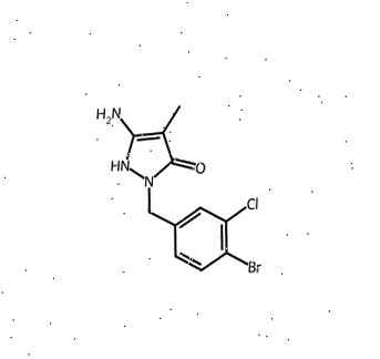 Cc1c(N)[nH]n(Cc2ccc(Br)c(Cl)c2)c1=O